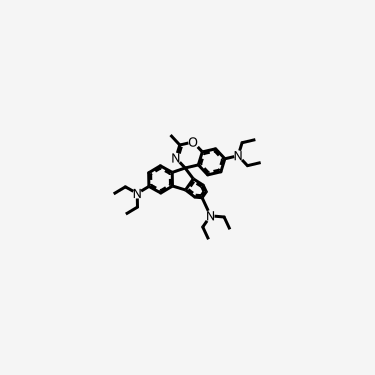 CCN(CC)c1ccc2c(c1)OC(C)=NC21c2ccc(N(CC)CC)cc2-c2cc(N(CC)CC)ccc21